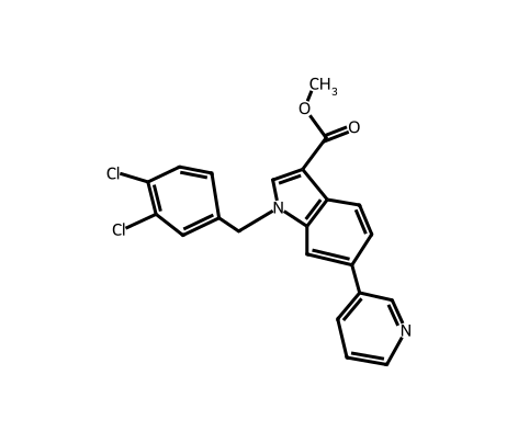 COC(=O)c1cn(Cc2ccc(Cl)c(Cl)c2)c2cc(-c3cccnc3)ccc12